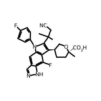 CC(C)(CC#N)c1c([C@@H]2CC[C@@](C)(C(=O)O)OC2)c2c(F)c3[nH]ncc3cc2n1-c1ccc(F)cc1